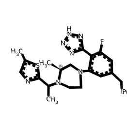 Cc1cnc(C(C)N2CCN(c3cc(CC(C)C)cc(F)c3-c3nn[nH]n3)C[C@@H]2C)s1